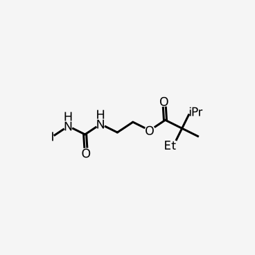 CCC(C)(C(=O)OCCNC(=O)NI)C(C)C